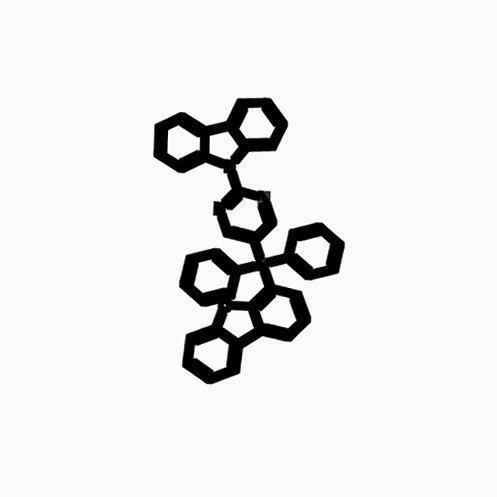 c1ccc([Si](c2ccccc2)(c2cnc(-n3c4ccccc4c4ccccc43)nc2)c2cccc3c2oc2ccccc23)cc1